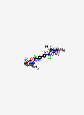 COC(=O)N[C@H](C(=O)N1[C@H](C)C(C)C[C@H]1c1nc(Cl)c(-c2ccc(-c3ccc(-c4[nH]c([C@@H]5CC(C)[C@@H](C)N5C(=O)[C@@H](NC(=O)OC)C(C)C)nc4Cl)cc3)cc2)[nH]1)C(C)C